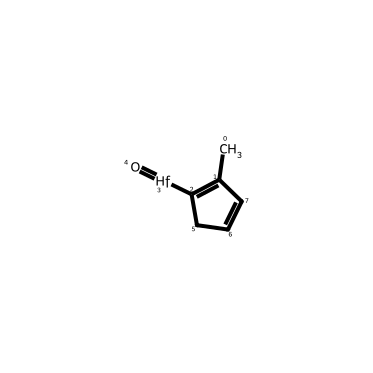 CC1=[C]([Hf]=[O])CC=C1